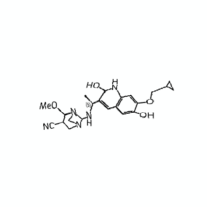 COC1C(C#N)CN2CN1C2N[C@@H](C)C1=Cc2cc(O)c(OCC3CC3)cc2NC1O